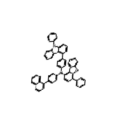 c1ccc(-c2ccc(N(c3ccc(-c4cccc5ccccc45)cc3)c3ccc(-c4cccc5c4c4ccccc4n5-c4ccccc4)cc3)c3c2oc2ccccc23)cc1